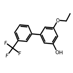 CCOc1cc(O)cc(-c2cccc(C(F)(F)F)c2)c1